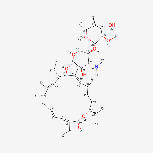 CC/C1=C\C=C\C[C@H](C)/C(C)=C/[C@H](CC)[C@@H](O[C@@H]2OC(C)[C@@H](O[C@@H]3O[C@H](C)[C@@H](C)[C@H](O)[C@H]3OC)[C@H](N(C)C)[C@H]2O)/C(C)=C/C(C)=C/C[C@@H](C(C)C)OC1=O